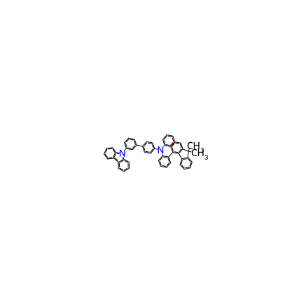 CC1(C)c2ccccc2-c2c(-c3ccccc3N(c3ccccc3)c3ccc(-c4cccc(-n5c6ccccc6c6ccccc65)c4)cc3)cccc21